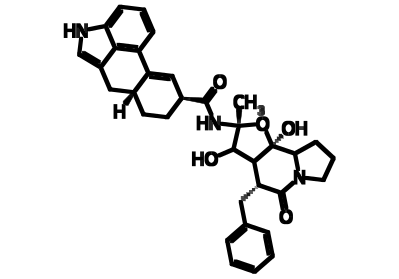 C[C@@]1(NC(=O)[C@@H]2C=C3c4cccc5[nH]cc(c45)C[C@H]3CC2)O[C@]2(O)C(C1O)[C@@H](Cc1ccccc1)C(=O)N1CCCC12